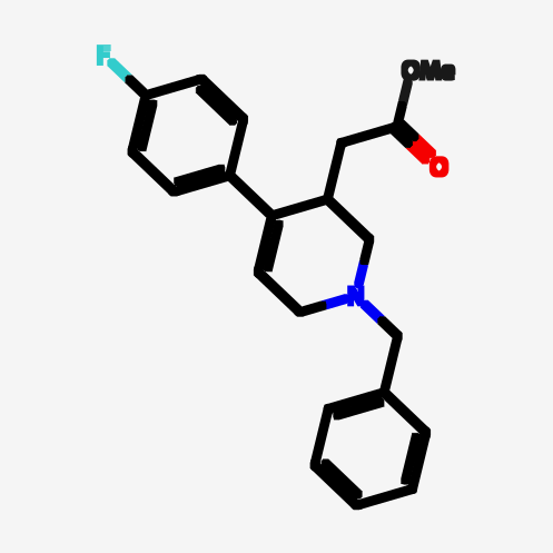 COC(=O)CC1CN(Cc2ccccc2)CC=C1c1ccc(F)cc1